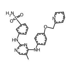 Cc1cnc(Nc2cccc(S(N)(=O)=O)c2)nc1Nc1ccc(OCc2ccccn2)cc1